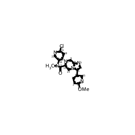 COc1ccc(-c2cnc3cnc(C(=O)N(C)c4ccc(Cl)nc4)cn23)cn1